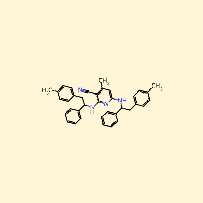 Cc1ccc(CC(Nc2cc(C)c(C#N)c(NC(Cc3ccc(C)cc3)c3ccccc3)n2)c2ccccc2)cc1